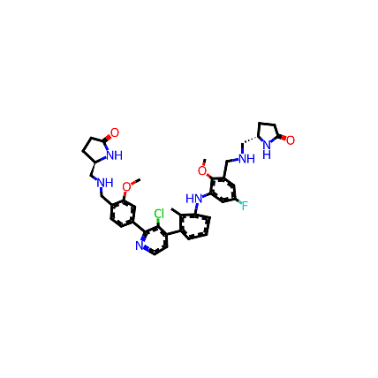 COc1cc(-c2nccc(-c3cccc(Nc4cc(F)cc(CNC[C@@H]5CCC(=O)N5)c4OC)c3C)c2Cl)ccc1CNC[C@H]1CCC(=O)N1